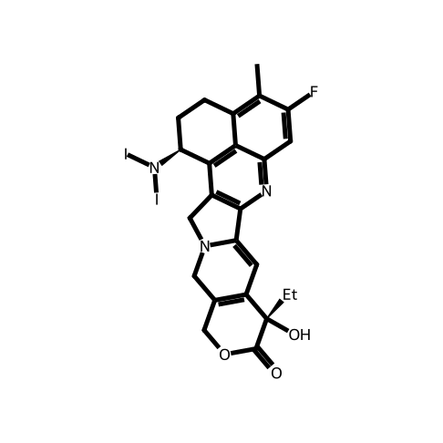 CC[C@@]1(O)C(=O)OCC2=C1C=C1c3nc4cc(F)c(C)c5c4c(c3CN1C2)[C@@H](N(I)I)CC5